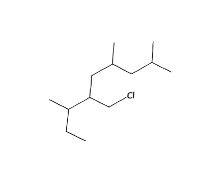 CCC(C)C(CCl)CC(C)CC(C)C